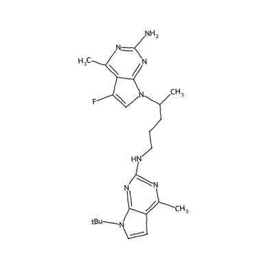 Cc1nc(NCCCC(C)n2cc(F)c3c(C)nc(N)nc32)nc2c1ccn2C(C)(C)C